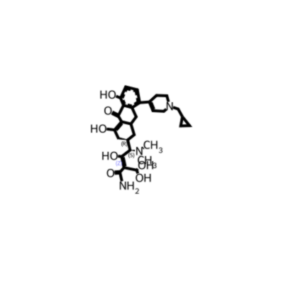 CN(C)[C@H](/C(O)=C(/C(N)=O)C(O)O)[C@H]1CC(O)=C2C(=O)c3c(O)ccc(C4=CCN(CC5CC5)CC4)c3CC2C1